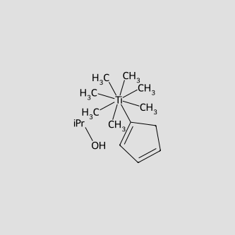 CC(C)O.[CH3][Ti]([CH3])([CH3])([CH3])([CH3])([CH3])([CH3])[C]1=CC=CC1